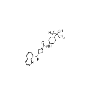 CC(C)(O)C1CCC(NC(=O)N2CC(C(F)c3cccc4cccnc34)C2)CC1